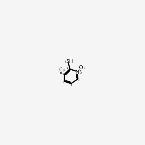 [Cu].[O-][n+]1ccccc1S